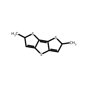 CC1C=c2sc3c(c2S1)SC(C)C=3